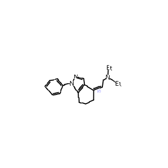 CCN(CC)C/C=C1/CCCc2c1cnn2-c1ccccc1